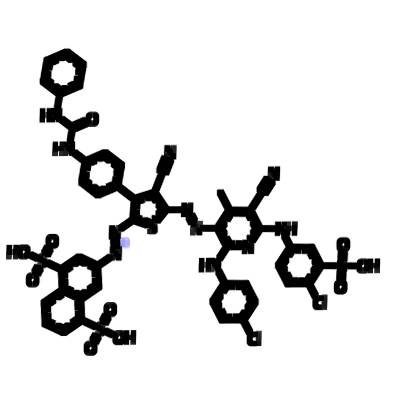 Cc1c(C#N)c(Nc2ccc(Cl)c(S(=O)(=O)O)c2)nc(Nc2ccc(Cl)cc2)c1N=Nc1sc(/N=N/c2cc(S(=O)(=O)O)c3cccc(S(=O)(=O)O)c3c2)c(-c2ccc(NC(=O)Nc3ccccc3)cc2)c1C#N